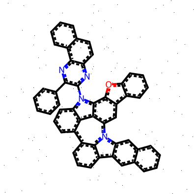 c1ccc(-c2nc3c(ccc4ccccc43)nc2-n2c3cccc4c5cccc6c7cc8ccccc8cc7n(c7cc8c9ccccc9oc8c2c7c43)c56)cc1